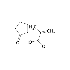 C=C(C)C(=O)O.O=C1CCCC1